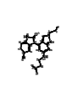 CCCn1cc2c(C3C(=O)NC4=CCC(Br)C=C43)nc(NCCN(C)C)nc2n1